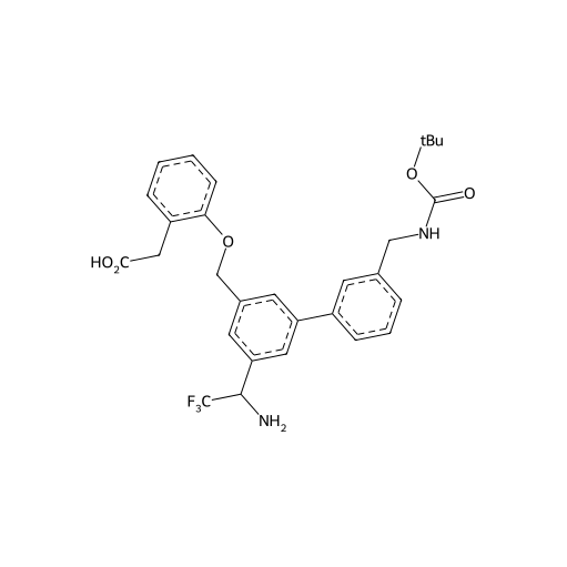 CC(C)(C)OC(=O)NCc1cccc(-c2cc(COc3ccccc3CC(=O)O)cc(C(N)C(F)(F)F)c2)c1